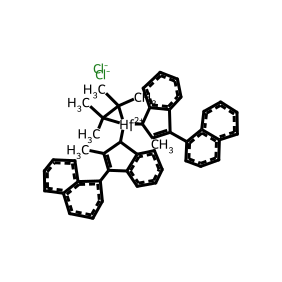 CC1=C(c2cccc3ccccc23)c2ccccc2[CH]1[Hf+2]1([CH]2C(C)=C(c3cccc4ccccc34)c3ccccc32)[C](C)(C)[C]1(C)C.[Cl-].[Cl-]